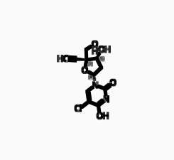 C#C[C@]1(CO)O[C@@H](n2cc(Cl)c(O)nc2=O)C[C@@H]1O